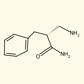 NC[C@@H](Cc1ccccc1)C(N)=O